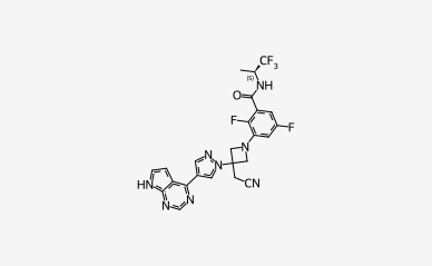 C[C@H](NC(=O)c1cc(F)cc(N2CC(CC#N)(n3cc(-c4ncnc5[nH]ccc45)cn3)C2)c1F)C(F)(F)F